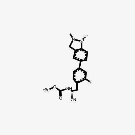 CN1Cc2cc(-c3ccc(C[C@@H](C#N)NC(=O)OC(C)(C)C)c(F)c3)ccc2[S+]1[O-]